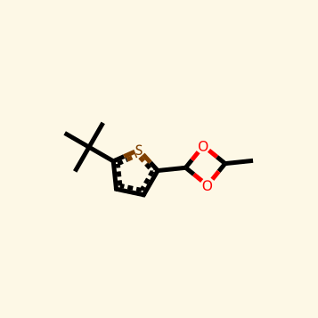 CC1OC(c2ccc(C(C)(C)C)s2)O1